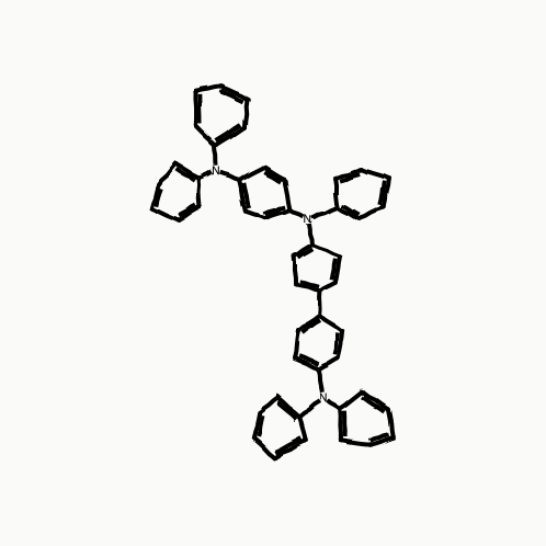 c1ccc(N(c2ccccc2)c2ccc(-c3ccc(N(c4ccccc4)c4ccc(N(c5ccccc5)c5ccccc5)cc4)cc3)cc2)cc1